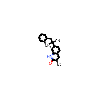 CCc1cc2ccc(C(C)(C#N)Cc3ccccc3C(F)(F)F)cc2[nH]c1=O